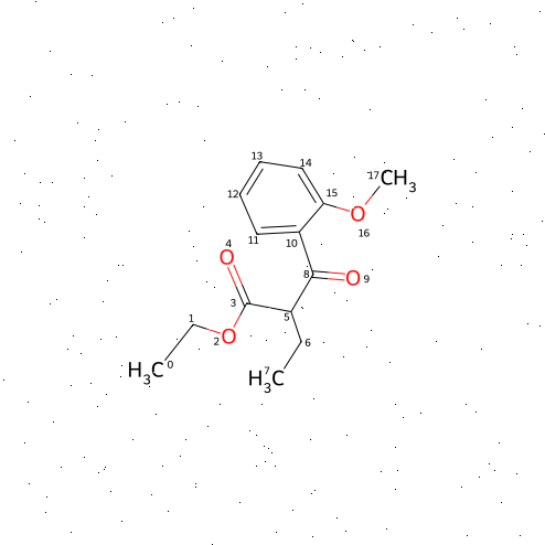 CCOC(=O)C(CC)C(=O)c1ccccc1OC